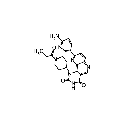 CCC(=O)N1CCC(n2c(=O)[nH]c(=O)c3cnc4ccc(-c5ccc(N)nc5)nc4c32)CC1